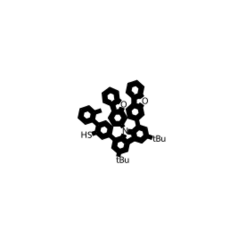 Cc1ccccc1-c1ccc(-c2cc(C(C)(C)C)cc3c4cc(C(C)(C)C)cc(-c5ccc6c(c5)oc5ccccc56)c4n(-c4ccc5c(c4)oc4ccccc45)c23)cc1S